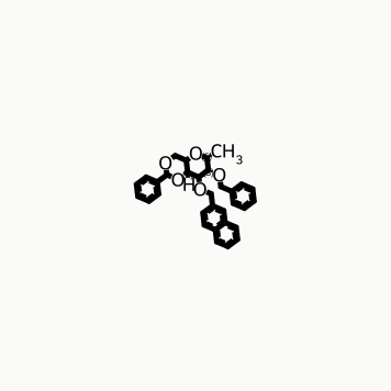 C[C@@H]1OC2COC(c3ccccc3)O[C@H]2C(OCc2ccc3ccccc3c2)[C@H]1OCc1ccccc1